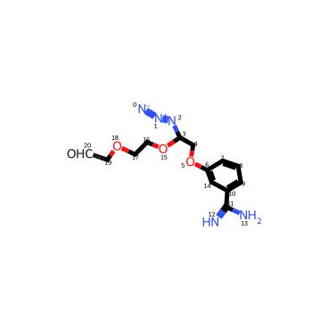 [N-]=[N+]=NC(COc1cccc(C(=N)N)c1)OCCOCC=O